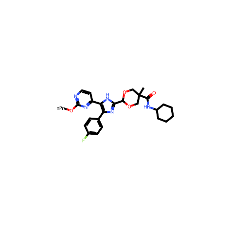 CCCOc1nccc(-c2[nH]c(C3OCC(C)(C(=O)NC4CCCCC4)CO3)nc2-c2ccc(F)cc2)n1